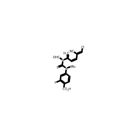 C=C(/C=C\C(C#N)=C\Cl)N(C=O)C(=S)N(c1ccc(C(=O)O)c(F)c1)C(C)(C)C